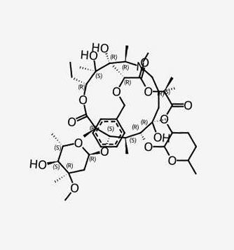 CC[C@H]1OC(=O)[C@H](C)[C@@H](O[C@H]2C[C@@](C)(OC)[C@@H](O)[C@H](C)O2)[C@H](C)[C@@H](OC2OC(C)CCC2OC(=O)[C@H](C)OC(=O)[C@@H](C)OCc2ccccc2)[C@](C)(O)C[C@@H](C)CN(C)[C@H](C)[C@@H](O)[C@]1(C)O